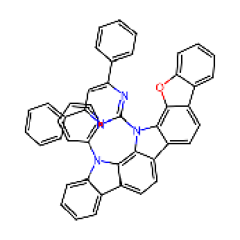 c1ccc(-c2cc(-c3ccccc3)nc(-n3c4c(ccc5c6ccccc6oc54)c4ccc5c6ccccc6n(-c6ccccc6)c5c43)n2)cc1